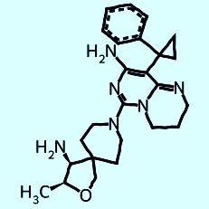 C[C@@H]1OCC2(CCN(C3=NC(N)=C(C4(c5ccccc5)CC4)C4=NCCCN43)CC2)[C@@H]1N